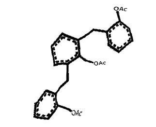 CC(=O)Oc1ccccc1Cc1cccc(Cc2ccccc2OC(C)=O)c1OC(C)=O